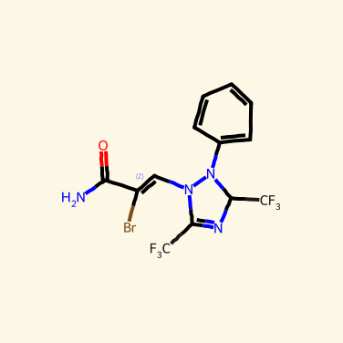 NC(=O)/C(Br)=C/N1C(C(F)(F)F)=NC(C(F)(F)F)N1c1ccccc1